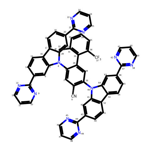 N#Cc1cc(-n2c3cc(-c4ncccn4)ccc3c3ccc(-c4ncccn4)cc32)c(-c2c(C(F)(F)F)cccc2C(F)(F)F)cc1-n1c2cc(-c3ncccn3)ccc2c2ccc(-c3ncccn3)cc21